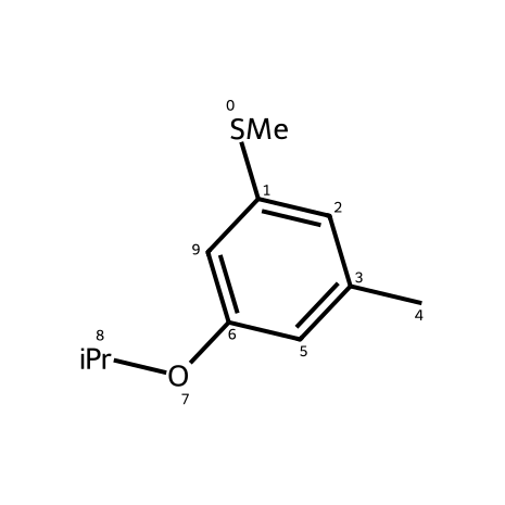 CSc1cc(C)cc(OC(C)C)c1